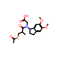 COc1cc2c(cc1OC)C(N(CC(=O)O)C(=O)C(C)CSC(C)=O)CC2